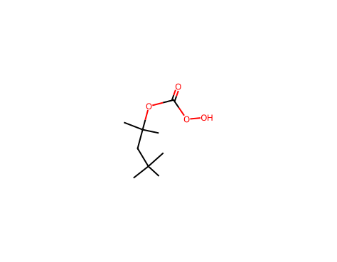 CC(C)(C)CC(C)(C)OC(=O)OO